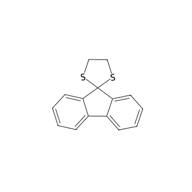 c1ccc2c(c1)-c1ccccc1C21SCCS1